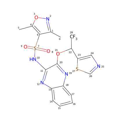 Cc1noc(C)c1S(=O)(=O)Nc1nc2ccccc2nc1OC(c1cncs1)C(F)(F)F